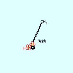 CCCCCCCCCCCCCCCCOS(=O)(=O)c1ccccc1OS(=O)(=O)O.[NaH].[NaH]